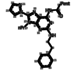 CCCC(C)C(=O)Nc1nc(NCCc2ccccc2)nc2c1nc(-n1cccn1)n2CCC